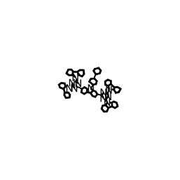 c1ccc(-c2ccc(-n3c4cc(-c5nc(-n6c7ccccc7c7ccccc76)nc(-n6c7ccccc7c7ccccc76)n5)ccc4c4ccc(-c5nc(-n6c7ccccc7c7ccccc76)nc(-n6c7ccccc7c7ccccc76)n5)cc43)cc2)cc1